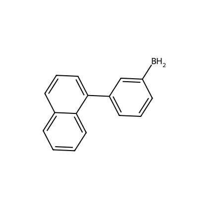 Bc1cccc(-c2cccc3ccccc23)c1